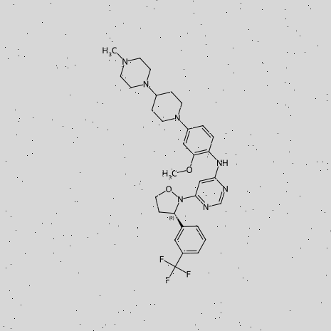 COc1cc(N2CCC(N3CCN(C)CC3)CC2)ccc1Nc1cc(N2OCC[C@@H]2c2cccc(C(F)(F)F)c2)ncn1